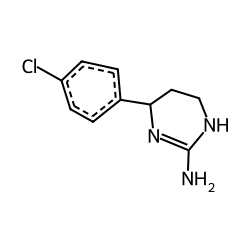 NC1=NC(c2ccc(Cl)cc2)CCN1